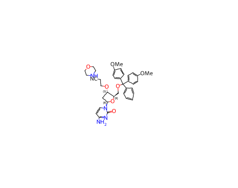 C1COCCN1.COc1ccc(C(OC[C@H]2O[C@@H](n3ccc(N)nc3=O)C[C@@H]2OCCC#N)(c2ccccc2)c2ccc(OC)cc2)cc1